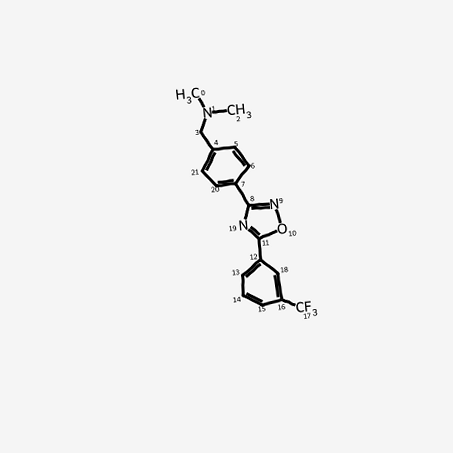 CN(C)Cc1ccc(-c2noc(-c3cccc(C(F)(F)F)c3)n2)cc1